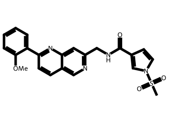 COc1ccccc1-c1ccc2cnc(CNC(=O)c3ccn(S(C)(=O)=O)c3)cc2n1